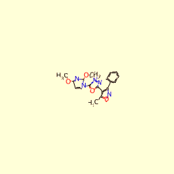 COC1=NC(OC)N(c2nnc(-c3c(-c4ccccc4)noc3C)o2)C=C1